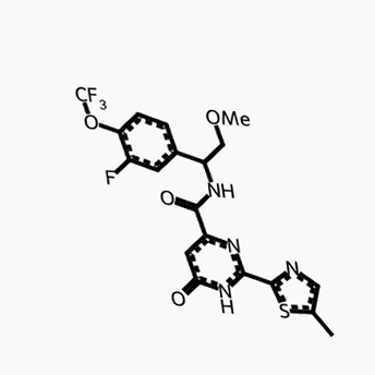 COCC(NC(=O)c1cc(=O)[nH]c(-c2ncc(C)s2)n1)c1ccc(OC(F)(F)F)c(F)c1